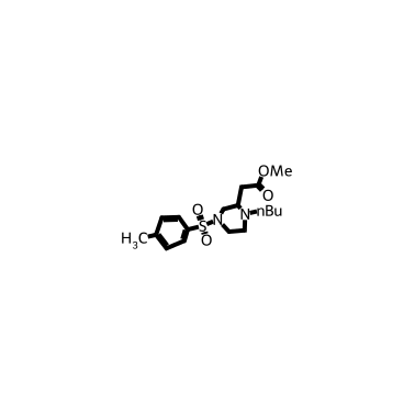 CCCCN1CCN(S(=O)(=O)c2ccc(C)cc2)CC1CC(=O)OC